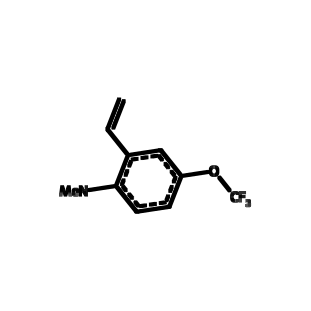 C=Cc1cc(OC(F)(F)F)ccc1NC